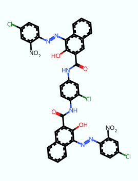 O=C(Nc1ccc(NC(=O)c2cc3ccccc3c(N=Nc3ccc(Cl)cc3[N+](=O)[O-])c2O)c(Cl)c1)c1cc2ccccc2c(N=Nc2ccc(Cl)cc2[N+](=O)[O-])c1O